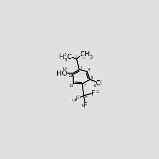 CC(C)c1cc(Cl)c(C(F)(F)F)cc1O